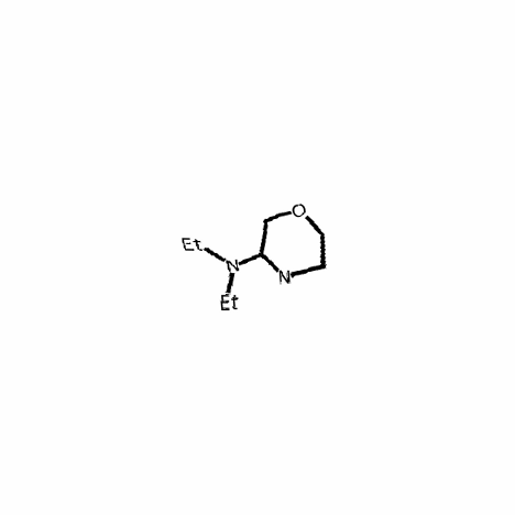 CCN(CC)C1COCC[N]1